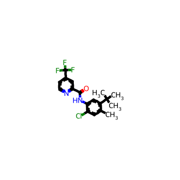 Cc1cc(Cl)c(NC(=O)c2cc(C(F)(F)F)ccn2)cc1C(C)(C)C